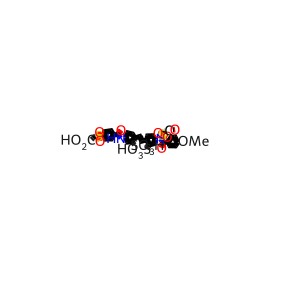 COc1ccc(C(=O)N(c2ccc(C=Cc3ccc(NC(=O)c4ccc(S(=O)(=O)CC(=O)O)cc4)cc3S(=O)(=O)O)c(S(=O)(=O)O)c2)S(=O)(=O)C=C=O)cc1